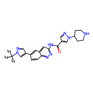 [2H]C([2H])([2H])n1cc(-c2ccc3nnc(NC(=O)c4cnn(C5CCNCC5)c4)cc3c2)cn1